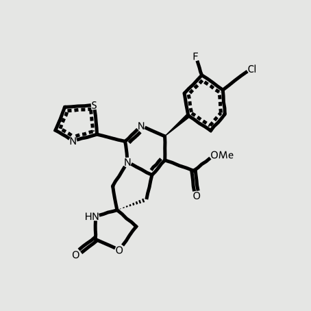 COC(=O)C1=C2C[C@@]3(COC(=O)N3)CN2C(c2nccs2)=N[C@H]1c1ccc(Cl)c(F)c1